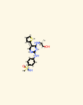 C[C@H](CO)Nc1nc(Nc2ccc(S(C)(=N)=O)cc2)ncc1-c1cccs1